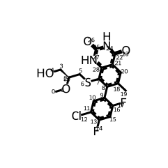 CO[C@@H](CO)CSc1c(-c2cc(Cl)c(F)cc2F)c(C)cc2c(=O)[nH]c(=O)[nH]c12